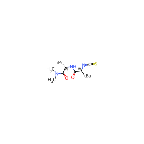 CC(C)[C@H](NC(=O)[C@@H](N=C=S)C(C)(C)C)C(=O)N(C)C